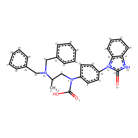 CC(CN(C(=O)O)c1ccc(-n2c(=O)[nH]c3ccccc32)cc1)N(Cc1ccccc1)Cc1ccccc1